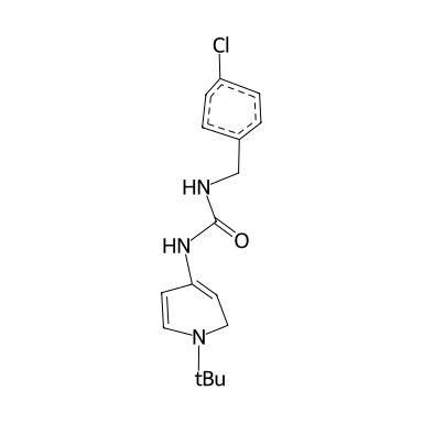 CC(C)(C)N1C=CC(NC(=O)NCc2ccc(Cl)cc2)=CC1